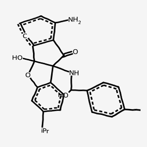 Cc1ccc(C(O)NC23C(=O)c4c(N)cccc4C2(O)Oc2cc(C(C)C)ccc23)cc1